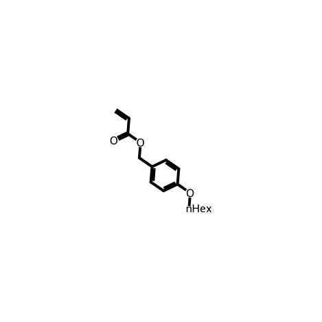 C=CC(=O)OCc1ccc(OCCCCCC)cc1